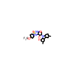 Cc1ccc2c(c1)c1cc(C)ccc1n2C1COCC(NS(=N)(=O)c2ccc(OC(F)(F)F)cc2)C1O